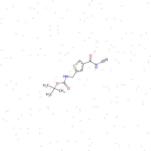 CC(C)(C)OC(=O)NCc1cc(C(=O)NC#N)cs1